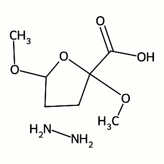 COC1CCC(OC)(C(=O)O)O1.NN